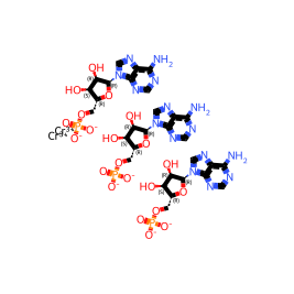 Nc1ncnc2c1ncn2[C@@H]1O[C@H](COP(=O)([O-])[O-])[C@@H](O)[C@H]1O.Nc1ncnc2c1ncn2[C@@H]1O[C@H](COP(=O)([O-])[O-])[C@@H](O)[C@H]1O.Nc1ncnc2c1ncn2[C@@H]1O[C@H](COP(=O)([O-])[O-])[C@@H](O)[C@H]1O.[Cr+3].[Cr+3]